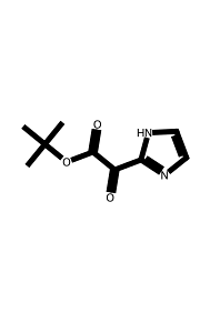 CC(C)(C)OC(=O)C(=O)c1ncc[nH]1